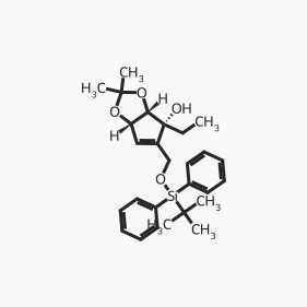 CC[C@@]1(O)C(CO[Si](c2ccccc2)(c2ccccc2)C(C)(C)C)=C[C@@H]2OC(C)(C)O[C@@H]21